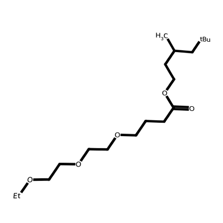 CCOCCOCCOCCCC(=O)OCCC(C)CC(C)(C)C